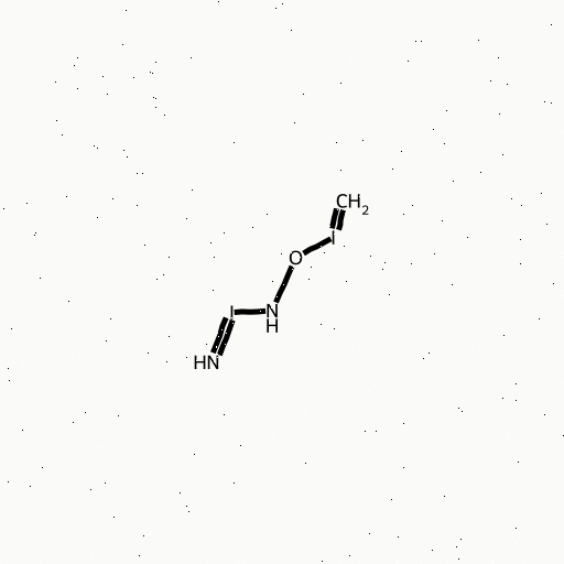 C=IONI=N